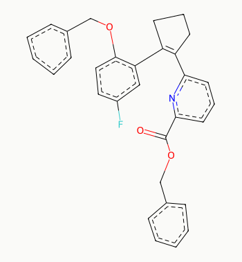 O=C(OCc1ccccc1)c1cccc(C2=C(c3cc(F)ccc3OCc3ccccc3)CCC2)n1